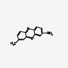 Cc1ccc2nc3ccc(N)cc3[s+]c2c1